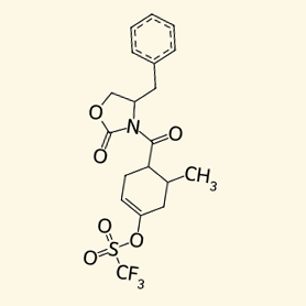 CC1CC(OS(=O)(=O)C(F)(F)F)=CCC1C(=O)N1C(=O)OCC1Cc1ccccc1